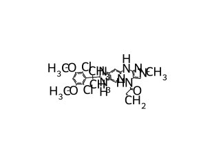 C=CC(=O)Nc1cn(C)nc1Nc1cc2nc(C(C)(C)c3c(Cl)c(OC)cc(OC)c3Cl)[nH]c2cn1